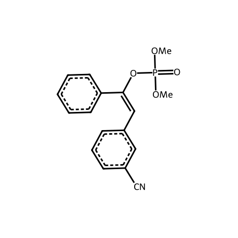 COP(=O)(OC)O/C(=C/c1cccc(C#N)c1)c1ccccc1